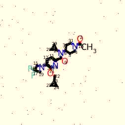 CC(=O)N1CCC(N(C(=O)c2ccc(N3CC(F)(F)C3)c(OCC3CC3)n2)C2CC2)CC1